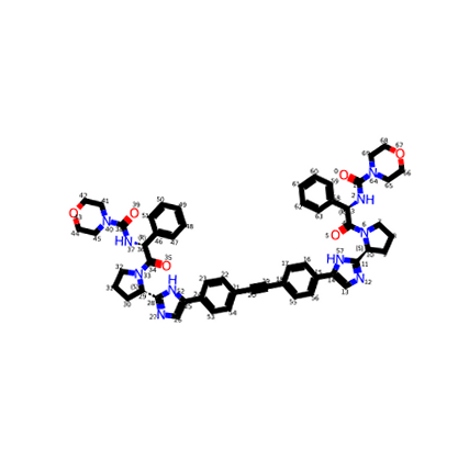 O=C(N[C@@H](C(=O)N1CCC[C@H]1c1ncc(-c2ccc(C#Cc3ccc(-c4cnc([C@@H]5CCCN5C(=O)[C@H](NC(=O)N5CCOCC5)c5ccccc5)[nH]4)cc3)cc2)[nH]1)c1ccccc1)N1CCOCC1